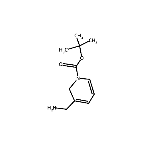 CC(C)(C)OC(=O)N1C=CC=C(CN)C1